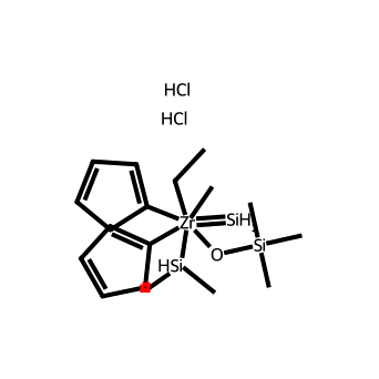 C[CH2][Zr]([CH3])(=[SiH2])([O][Si](C)(C)C)([C]1=CC=CC1)([C]1=CC=CC1)[SiH](C)C.Cl.Cl